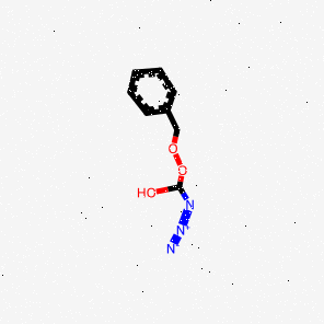 [N-]=[N+]=NC(O)OOCc1ccccc1